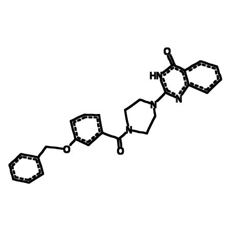 O=C(c1cccc(OCc2ccccc2)c1)N1CCN(c2nc3ccccc3c(=O)[nH]2)CC1